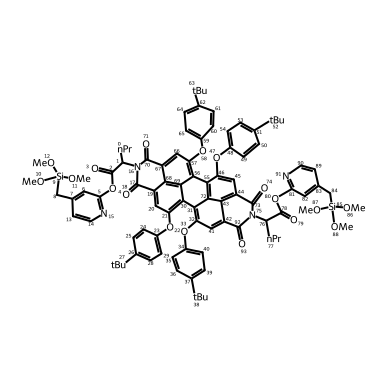 CCCC(C(=O)Oc1cc(C[Si](OC)(OC)OC)ccn1)N1C(=O)c2cc(Oc3ccc(C(C)(C)C)cc3)c3c4c(Oc5ccc(C(C)(C)C)cc5)cc5c6c(cc(Oc7ccc(C(C)(C)C)cc7)c(c7c(Oc8ccc(C(C)(C)C)cc8)cc(c2c37)C1=O)c64)C(=O)N(C(CCC)C(=O)Oc1cc(C[Si](OC)(OC)OC)ccn1)C5=O